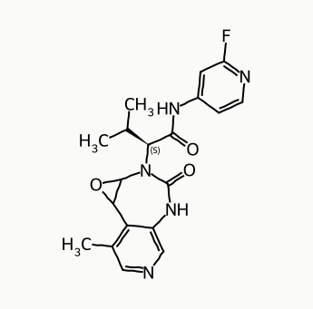 Cc1cncc2c1C1OC1N([C@H](C(=O)Nc1ccnc(F)c1)C(C)C)C(=O)N2